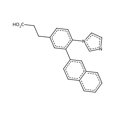 O=C(O)CCc1ccc(-n2ccnc2)c(-c2ccc3ccccc3c2)c1